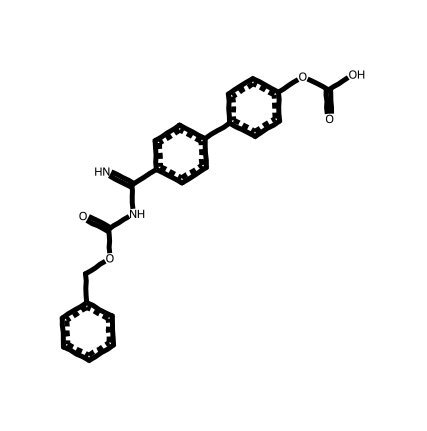 N=C(NC(=O)OCc1ccccc1)c1ccc(-c2ccc(OC(=O)O)cc2)cc1